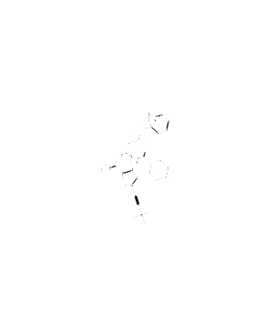 CC(C)(C)C#Cc1cc2c(s1)C(=O)O[C@@H](CCOc1ccccn1)N2C(=O)[C@H]1CC[C@H](C)CC1